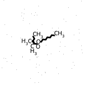 CCCCCCCCOC(=O)C(C)=C(C)CCC